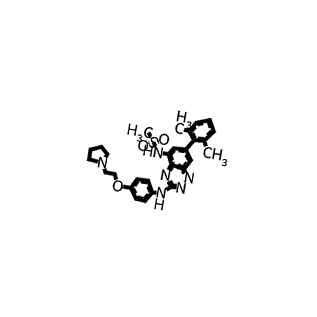 Cc1cccc(C)c1-c1cc(NS(C)(=O)=O)c2nc(Nc3ccc(OCCN4CCCC4)cc3)nnc2c1